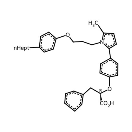 CCCCCCCc1ccc(OCCCn2c(C)ccc2-c2ccc(O[C@H](Cc3ccccc3)C(=O)O)cc2)cc1